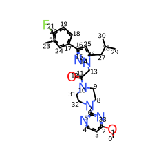 COc1ccnc(N2CCN(C(=O)Cn3nc(-c4ccc(F)c(C)c4)cc3CC(C)C)CC2)n1